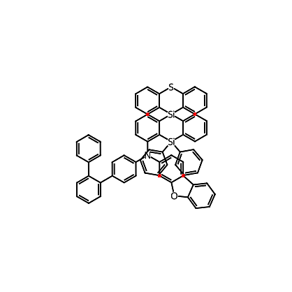 c1ccc(-c2ccccc2-c2ccc(N(c3ccc4c(c3)oc3ccccc34)c3cccc4c3[Si](c3ccccc3)(c3ccccc3)c3ccccc3[Si]43c4ccccc4Sc4ccccc43)cc2)cc1